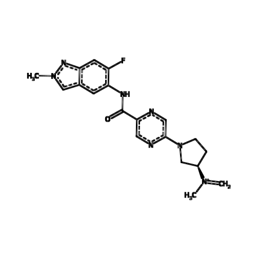 C=[N+](C)[C@@H]1CCN(c2cnc(C(=O)Nc3cc4cn(C)nc4cc3F)cn2)C1